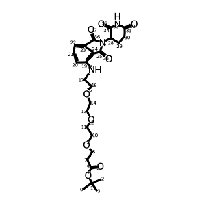 CC(C)(C)OC(=O)CCOCCOCCOCCNc1cccc2c1C(=O)N(C1CCC(=O)NC1=O)C2=O